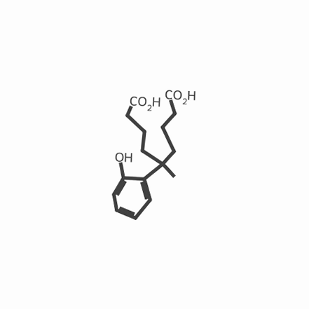 CC(CCCC(=O)O)(CCCC(=O)O)c1ccccc1O